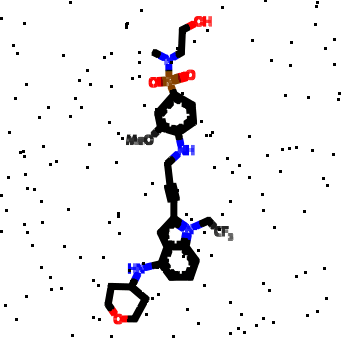 COc1cc(S(=O)(=O)N(C)CCO)ccc1NCC#Cc1cc2c(NC3CCOCC3)cccc2n1CC(F)(F)F